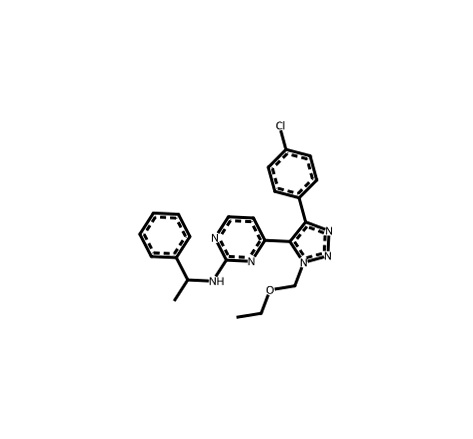 CCOCn1nnc(-c2ccc(Cl)cc2)c1-c1ccnc(NC(C)c2ccccc2)n1